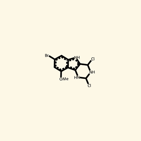 COc1cc(Br)cc2[nH]c3c(c12)NC(Cl)NC3Cl